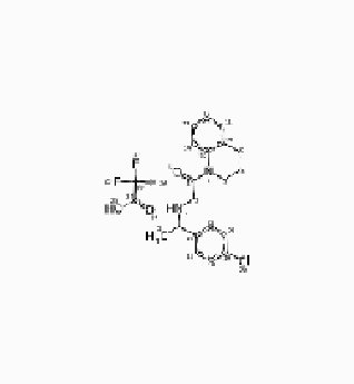 CC(NCC(=O)N1CCCc2ccccc21)c1ccc(Cl)cc1.O=C(O)C(F)(F)F